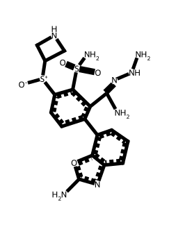 NN/N=C(\N)c1c(-c2cccc3nc(N)oc23)ccc([S+]([O-])C2CNC2)c1S(N)(=O)=O